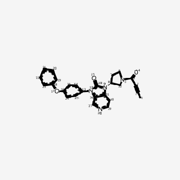 CC#CC(=O)N1CC[C@@H](n2c(=O)n(-c3ccc(Oc4ccccc4)cc3)c3cnccc32)C1